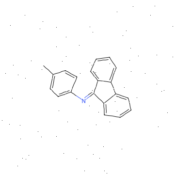 Cc1ccc(N=C2c3ccccc3-c3ccccc32)cc1